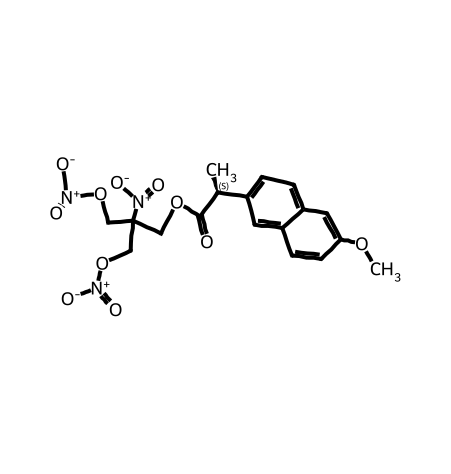 COc1ccc2cc([C@H](C)C(=O)OCC(CO[N+](=O)[O-])(CO[N+](=O)[O-])[N+](=O)[O-])ccc2c1